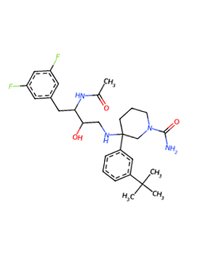 CC(=O)NC(Cc1cc(F)cc(F)c1)C(O)CNC1(c2cccc(C(C)(C)C)c2)CCCN(C(N)=O)C1